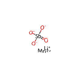 [Li+].[Mn+2].[O]=[Sb]([O-])([O-])[O-]